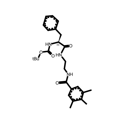 Cc1cc(C(=O)NCCNC(=O)[C@H](Cc2ccccc2)NC(=O)OC(C)(C)C)cc(C)c1C